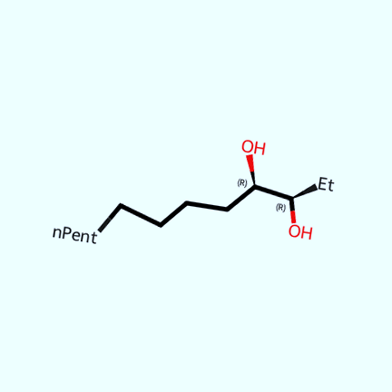 CCCCCCCCC[C@@H](O)[C@H](O)CC